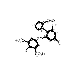 Cc1c(C(=O)O)cccc1C(=O)O.O=Cc1cncn1-c1c(F)cc(F)cc1F